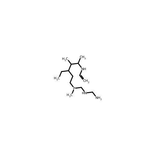 C=CNC(C)C(C)C(CC)CCP(C)CNCN